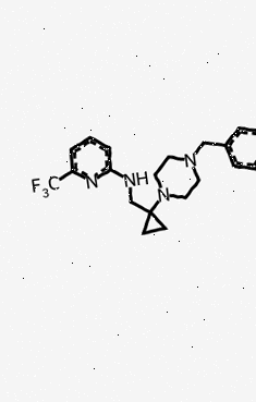 FC(F)(F)c1cccc(NCC2(N3CCN(Cc4ccccc4)CC3)CC2)n1